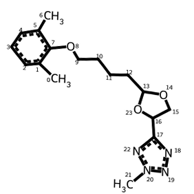 Cc1cccc(C)c1OCCCCC1OCC(c2nnn(C)n2)O1